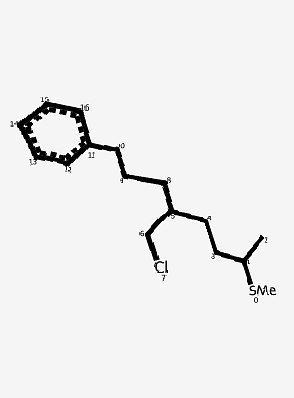 CSC(C)CCC(CCl)CCCc1ccccc1